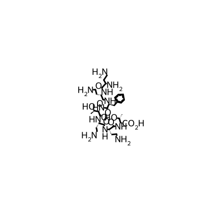 C[C@@H](O)[C@H](NC(=O)[C@H](CCN)NC(=O)[C@H](CCN)NC(=O)[C@@H](NC(=O)[C@H](Cc1ccccc1)NC(=O)[C@H](CCN)NC(=O)[C@@H](N)CCN)[C@@H](C)O)C(=O)O